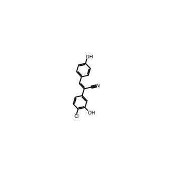 N#C/C(=C\c1ccc(O)cc1)c1ccc(Cl)c(O)c1